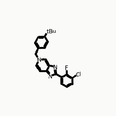 CC(C)(C)c1ccc(Cn2ccc3nc(-c4cccc(Cl)c4F)nc-3c2)cc1